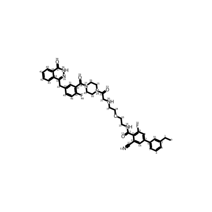 CCc1cccc(-c2cc(F)c(C(=O)NCCOCCNCC(=O)N3CCN(C(=O)c4cc(Cc5n[nH]c(=O)c6ccccc56)ccc4F)CC3)c(C#N)c2)c1